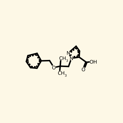 CC(C)(Cn1nccc1C(=O)O)OCc1ccccc1